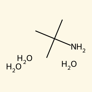 CC(C)(C)N.O.O.O